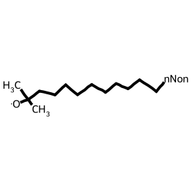 CCCCCCCCCCCCCCCCCCCC(C)(C)[O]